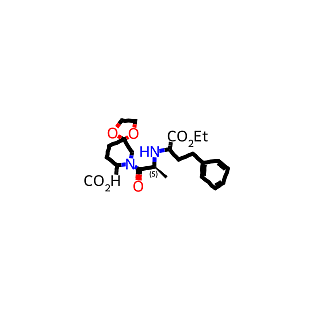 CCOC(=O)C(CCc1ccccc1)N[C@@H](C)C(=O)N1CC2(CCC1C(=O)O)OCCO2